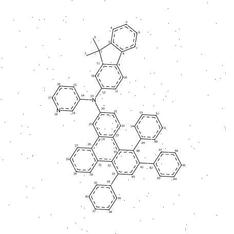 CC1(C)c2ccccc2-c2ccc(N(c3cccnc3)c3ccc4c(c3)c3ccccc3c3c(-c5ccccc5)cc(-c5ccccc5)c(-c5ccccc5)c43)cc21